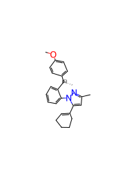 COc1ccc([C@H](C)c2ccccc2-n2nc(C)cc2C2=CCCCC2)cc1